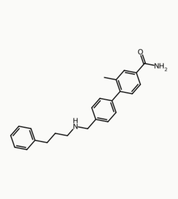 Cc1cc(C(N)=O)ccc1-c1ccc(CNCCCc2ccccc2)cc1